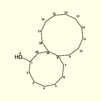 OC1CCCCCC[C]2CCCCCCCCCCC2C1